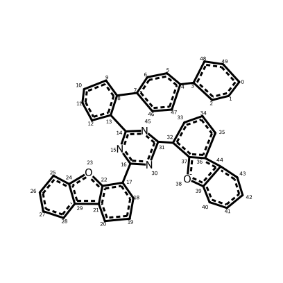 c1ccc(-c2ccc(-c3ccccc3-c3nc(-c4cccc5c4oc4ccccc45)nc(-c4cccc5c4oc4ccccc45)n3)cc2)cc1